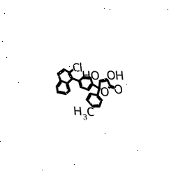 Cc1ccc(C2(c3ccc(-c4c(Cl)ccc5ccccc45)cc3)OC(=O)C(O)=C2O)cc1